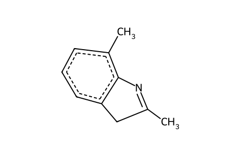 CC1=Nc2c(C)cccc2C1